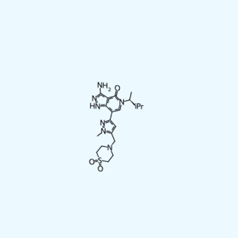 CC(C)[C@H](C)n1cc(-c2cc(CN3CCS(=O)(=O)CC3)n(C)n2)c2[nH]nc(N)c2c1=O